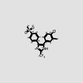 Cc1cc(-c2[nH]c(C(F)(F)F)nc2-c2ccc(S(C)(=O)=O)cc2)ccc1Cl